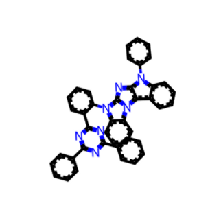 c1ccc(-c2nc(-c3ccccc3)nc(-c3ccccc3-n3c4ccccc4n4c5c6ccccc6n(-c6ccccc6)c5nc34)n2)cc1